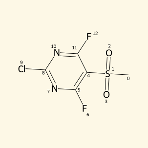 CS(=O)(=O)c1c(F)nc(Cl)nc1F